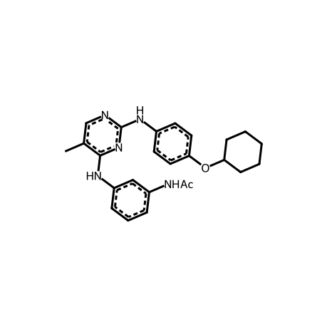 CC(=O)Nc1cccc(Nc2nc(Nc3ccc(OC4CCCCC4)cc3)ncc2C)c1